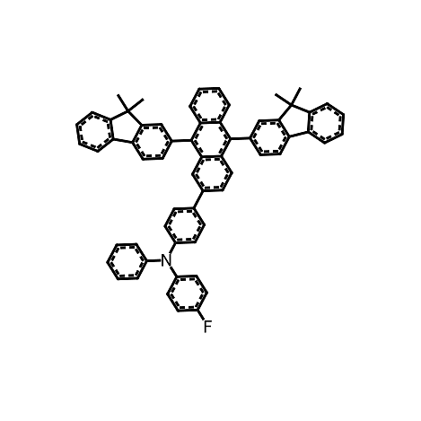 CC1(C)c2ccccc2-c2ccc(-c3c4ccccc4c(-c4ccc5c(c4)C(C)(C)c4ccccc4-5)c4cc(-c5ccc(N(c6ccccc6)c6ccc(F)cc6)cc5)ccc34)cc21